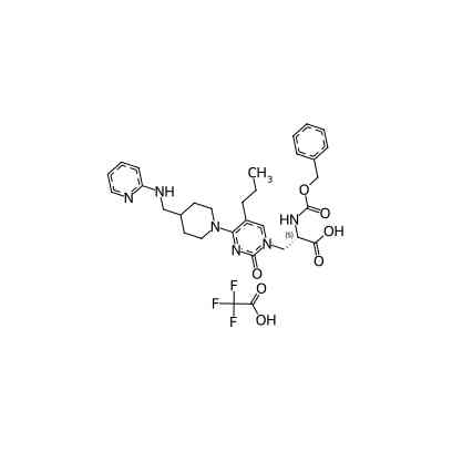 CCCc1cn(C[C@H](NC(=O)OCc2ccccc2)C(=O)O)c(=O)nc1N1CCC(CNc2ccccn2)CC1.O=C(O)C(F)(F)F